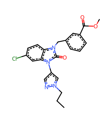 CCCn1cc(-n2c(=O)n(Cc3cccc(C(=O)OC)c3)c3ccc(Cl)cc32)cn1